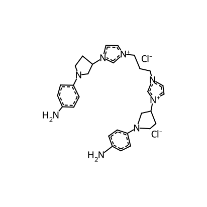 Nc1ccc(N2CCC(n3cc[n+](CCCn4cc[n+](C5CCN(c6ccc(N)cc6)C5)c4)c3)C2)cc1.[Cl-].[Cl-]